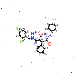 O=C(NCc1ccc(F)cc1F)c1c([N+](=O)[O-])c(NCc2ccc(F)cc2F)nc2ccc(F)cc12